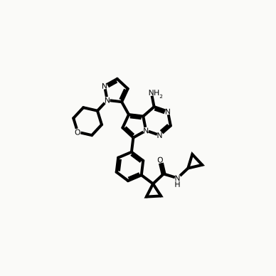 Nc1ncnn2c(-c3cccc(C4(C(=O)NC5CC5)CC4)c3)cc(-c3ccnn3C3CCOCC3)c12